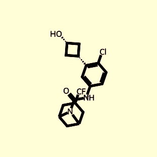 O=C(Nc1ccc(Cl)c([C@H]2C[C@@H](O)C2)c1)N1C2CC1CC(C(F)(F)F)C2